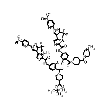 CN1CCN(C(=O)C2CCN(C(=O)c3ccc(NC(=O)c4ncc(-c5cn(-c6ccc([N+](=O)[O-])cn6)nc5C(F)(F)F)n4C)cc3Cl)CC2)CC1.Cn1c(-c2cn(-c3ccc([N+](=O)[O-])cn3)nc2C(F)(F)F)cnc1C(=O)Nc1ccc(C(=O)N2CCC(C(=O)OC(C)(C)C)CC2)c(Cl)c1